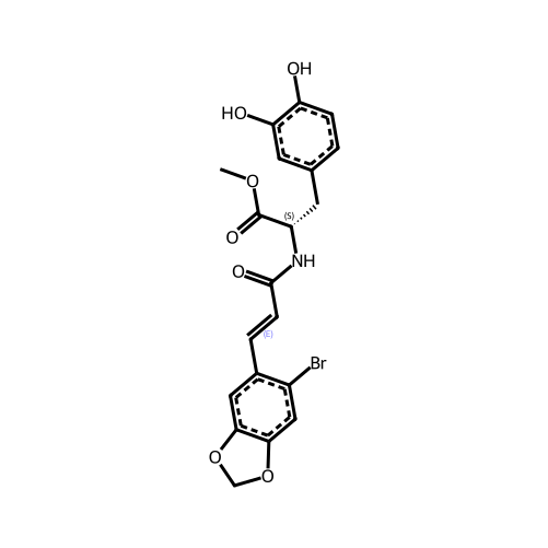 COC(=O)[C@H](Cc1ccc(O)c(O)c1)NC(=O)/C=C/c1cc2c(cc1Br)OCO2